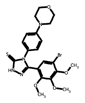 COc1c(Br)cc(-c2n[nH]c(=S)n2-c2ccc(N3CCOCC3)cc2)c(OC)c1OC